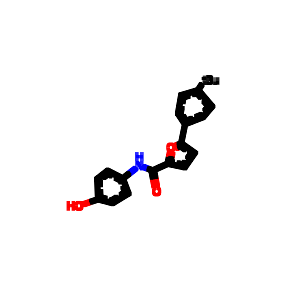 CC(C)(C)c1ccc(-c2ccc(C(=O)Nc3ccc(O)cc3)o2)cc1